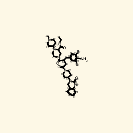 CCOC(=O)C1CN(C(=O)C(CC(=O)N2CCC(N3Cc4ccccc4NC3=O)CC2)Cc2cc(Br)c(N)c(Br)c2)CCN1C1CCN(C)CC1